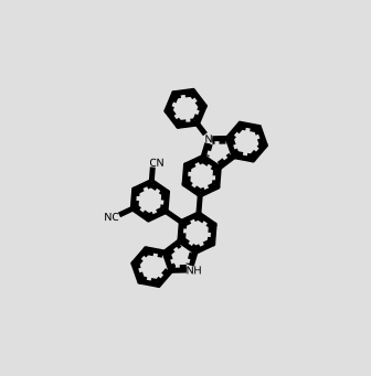 N#Cc1cc(C#N)cc(-c2c(-c3ccc4c(c3)c3ccccc3n4-c3ccccc3)ccc3[nH]c4ccccc4c23)c1